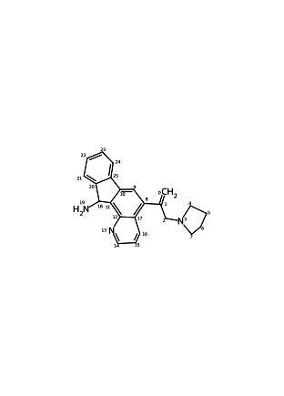 C=C(CN1CCCC1)c1cc2c(c3ncccc13)C(N)c1ccccc1-2